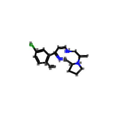 C=C(CN/C=C\C(=N)c1cc(Cl)ccc1NC)N1CCCC1CC